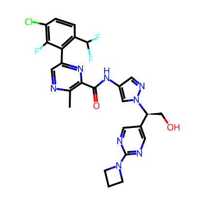 Cc1ncc(-c2c(C(F)F)ccc(Cl)c2F)nc1C(=O)Nc1cnn([C@@H](CO)c2cnc(N3CCC3)nc2)c1